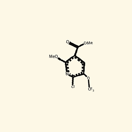 COC(=O)c1cc(OC(F)(F)F)c(Cl)nc1OC